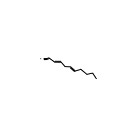 [CH]=CC=CCC=CCCCC